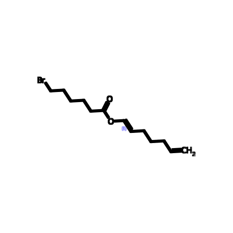 C=CCCC/C=C/OC(=O)CCCCCBr